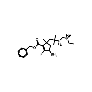 BC1CC(C)(CC(C)(C)[PH](=C)C[PH](=C)CC)C(C(=O)OCc2ccccc2)=C1F